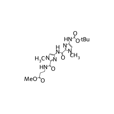 COC(=O)CCNC(=O)c1nc(NC(=O)c2nc(NC(=O)OC(C)(C)C)cn2C)cn1C